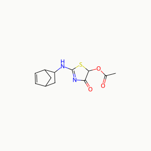 CC(=O)OC1SC(NC2CC3C=CC2C3)=NC1=O